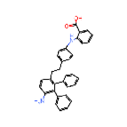 Nc1ccc(CCc2ccc(Nc3ccccc3C(=O)O)cc2)c(-c2ccccc2)c1-c1ccccc1